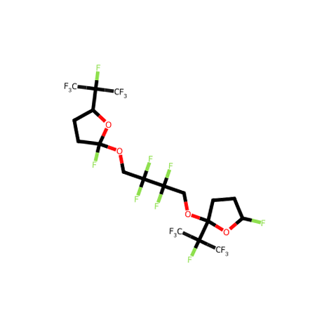 FC1CCC(OCC(F)(F)C(F)(F)COC2(F)CCC(C(F)(C(F)(F)F)C(F)(F)F)O2)(C(F)(C(F)(F)F)C(F)(F)F)O1